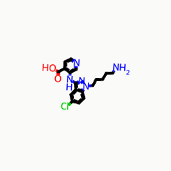 NCCCCCn1nc(Nc2cnccc2C(=O)O)c2cc(Cl)ccc21